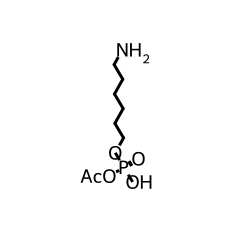 CC(=O)OP(=O)(O)OCCCCCCN